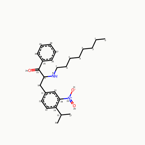 CCCCCCCCNC(Cc1ccc(C(C)C)c([N+](=O)[O-])c1)C(=O)c1ccccc1